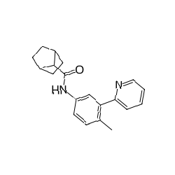 Cc1ccc(NC(=O)C2C3CCC2CC3)cc1-c1ccccn1